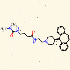 CN(C)C(=O)NCCCC(=O)NCCN1CCC(=C2c3ccccc3C=Cc3ccccc32)CC1